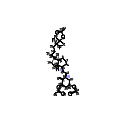 C=C1/C(=C\C=C2/CCC[C@]3(C)[C@@H]([C@H](C)CCC(F)(F)C(C)(C)OC(C)=O)CC[C@@H]23)C[C@H](OC(C)=O)C[C@H]1OC(C)=O